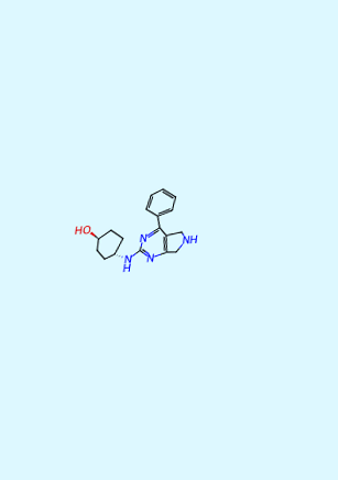 O[C@H]1CC[C@H](Nc2nc3c(c(-c4ccccc4)n2)CNC3)CC1